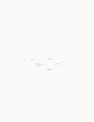 CC(=O)C(C)Nc1ccc(N)cc1